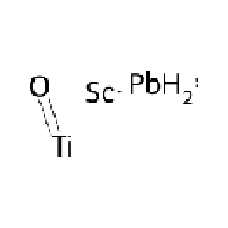 [O]=[Ti].[PbH2].[Sc]